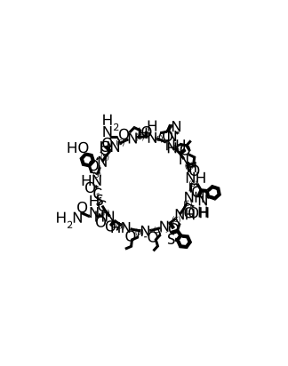 CCCC[C@H]1C(=O)N(C)[C@@H](CCCC)C(=O)N[C@@H](C)C(=O)N[C@H](C(=O)NCC(N)=O)CSCC(=O)N[C@@H](Cc2ccc(O)cc2)C(=O)N(C)[C@@H](C)C(=O)N[C@@H](CC(N)=O)C(=O)N2CCC[C@H]2C(=O)N[C@@H](Cc2cnc[nH]2)C(=O)N[C@@H](CC(C)C)C(=O)N2CCC[C@H]2C(=O)N[C@@H](Cc2c[nH]c3ccccc23)C(=O)N[C@@H](CO)C(=O)N[C@@H](Cc2csc3ccccc23)C(=O)N1C